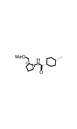 COC[C@@H]1CCCN1NC(=O)[C@H]1CC[C@@H](C)CC1